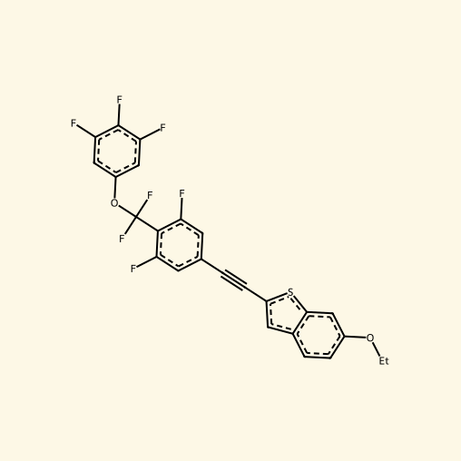 CCOc1ccc2cc(C#Cc3cc(F)c(C(F)(F)Oc4cc(F)c(F)c(F)c4)c(F)c3)sc2c1